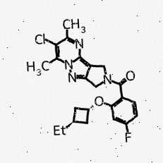 CC[C@H]1C[C@H](Oc2cc(F)ccc2C(=O)N2Cc3nn4c(C)c(Cl)c(C)nc4c3C2)C1